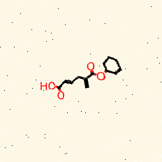 C=C(CC=CC(=O)O)C(=O)OC1CCCCC1